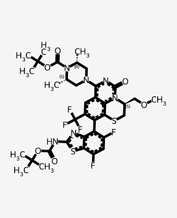 COC[C@H]1CSc2c(-c3c(F)cc(F)c4sc(NC(=O)OC(C)(C)C)nc34)c(C(F)(F)F)cc3c(N4C[C@@H](C)N(C(=O)OC(C)(C)C)[C@@H](C)C4)nc(=O)n1c23